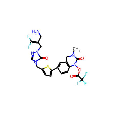 CN1Cc2cc(-c3ccc(Cn4cnn(CC(CN)=C(F)F)c4=O)s3)ccc2N(OC(=O)C(F)(F)F)C1=O